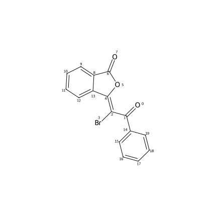 O=C(C(Br)=C1OC(=O)c2ccccc21)c1ccccc1